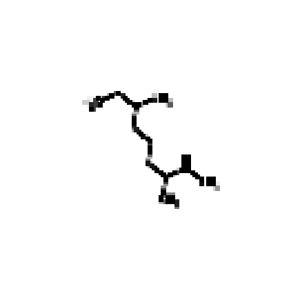 [CH2]CC(C)CCCC(C)NC